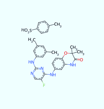 Cc1cc(C)cc(Nc2ncc(F)c(Nc3ccc4c(c3)NC(=O)C(C)(C)O4)n2)c1.Cc1ccc(S(=O)(=O)O)cc1